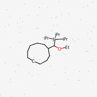 CCOC(C1[CH]CCCCCCCC1)[Si](C(C)C)(C(C)C)C(C)C